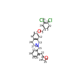 Clc1ccc(COc2ccc3c(c2)CN(CC2C=CC=C[C@@H]2CC2CCO2)CC3)cc1Cl